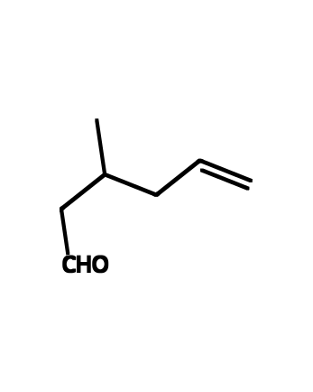 C=CCC(C)CC=O